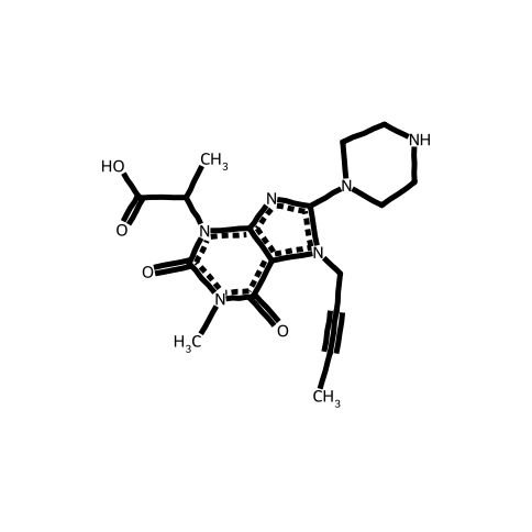 CC#CCn1c(N2CCNCC2)nc2c1c(=O)n(C)c(=O)n2C(C)C(=O)O